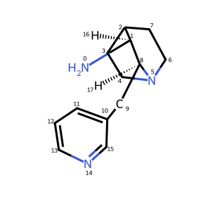 N[C@H]1C2CCN(CC2)[C@H]1Cc1cccnc1